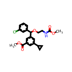 COC(=O)NCCOC(c1cccc(Cl)c1)c1cc(C(=O)OC)cc(C2CC2)c1